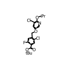 CC(C)Oc1ncc(OCc2cc(F)c(C(=O)OC(C)(C)C)cc2Cl)cc1Cl